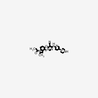 CCC(=O)n1c(C)cc2c(F)c(Oc3ncnc(Nc4ccc(N5CCNCC5)cn4)c3C#N)ccc21